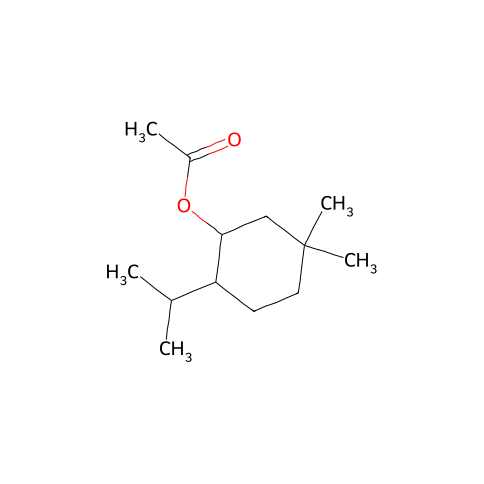 CC(=O)OC1CC(C)(C)CCC1C(C)C